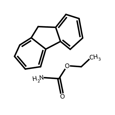 CCOC(N)=O.c1ccc2c(c1)Cc1ccccc1-2